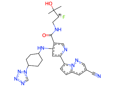 CC(C)(O)[C@H](F)CNC(=O)c1cnc(-c2ccc3cc(C#N)cnn23)cc1NC1CCC(n2cnnn2)CC1